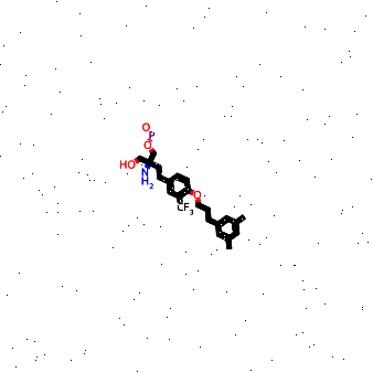 Cc1cc(C)cc(CCCOc2ccc(CCC(N)(CO)COP=O)cc2C(F)(F)F)c1